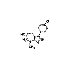 CN(C)c1n[nH]c(-c2ccc(Cl)cc2)c1CC(=O)O